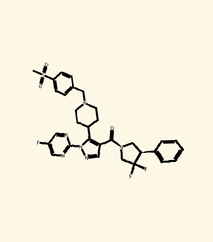 CS(=O)(=O)c1ccc(CN2CCC(c3c(C(=O)N4C[C@@H](c5ccccc5)C(F)(F)C4)cnn3-c3ncc(F)cn3)CC2)cc1